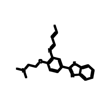 C/C=C/C=Nc1cc(-c2nc3ccccc3s2)ccc1OCCN(C)C